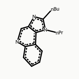 [CH2]CCn1c(CCCC)nc2cnc3ccccc3c21